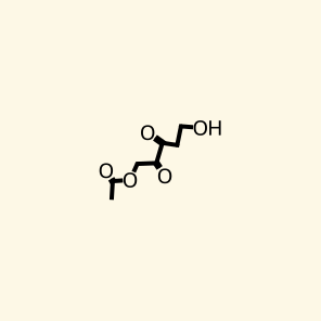 CC(=O)OCC(=O)C(=O)CCO